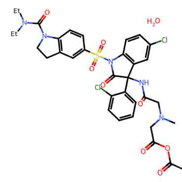 CCN(CC)C(=O)N1CCc2cc(S(=O)(=O)N3C(=O)C(NC(=O)CN(C)CC(=O)OC(=O)C(F)(F)F)(c4ccccc4Cl)c4cc(Cl)ccc43)ccc21.O